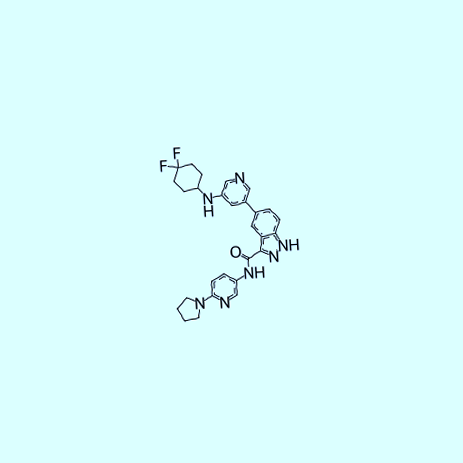 O=C(Nc1ccc(N2CCCC2)nc1)c1n[nH]c2ccc(-c3cncc(NC4CCC(F)(F)CC4)c3)cc12